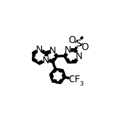 CS(=O)(=O)c1nccc(-c2nc3ncccn3c2-c2cccc(C(F)(F)F)c2)n1